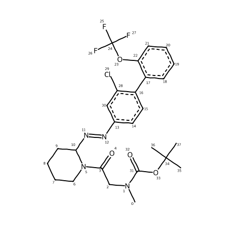 CN(CC(=O)N1CCCCC1/N=N/c1ccc(-c2ccccc2OC(F)(F)F)c(Cl)c1)C(=O)OC(C)(C)C